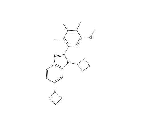 COc1cc(-c2nc3ccc(N4CCC4)cc3n2C2CCC2)c(C)c(C)c1C